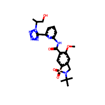 COc1cc2c(cc1C(=O)Nc1cccc(-c3nnnn3C(C)CO)n1)S(=O)(=O)N(C(C)(C)C)C2